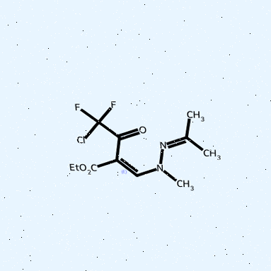 CCOC(=O)/C(=C/N(C)N=C(C)C)C(=O)C(F)(F)Cl